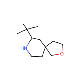 CC(C)(C)C1CC2(CCN1)CCOC2